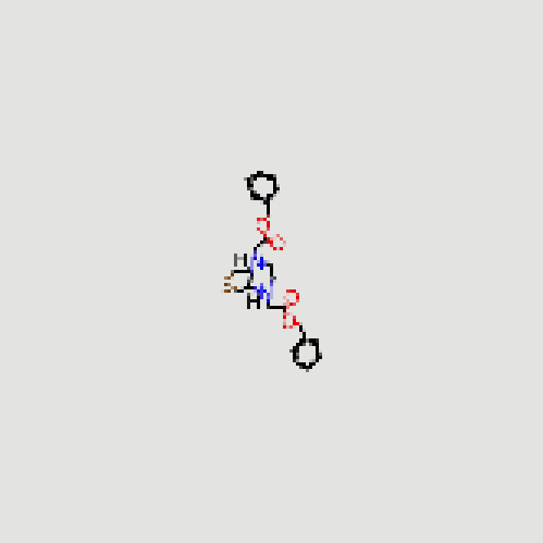 O=C(CN1CCN(CC(=O)OCc2ccccc2)[C@H]2CSC[C@H]21)OCc1ccccc1